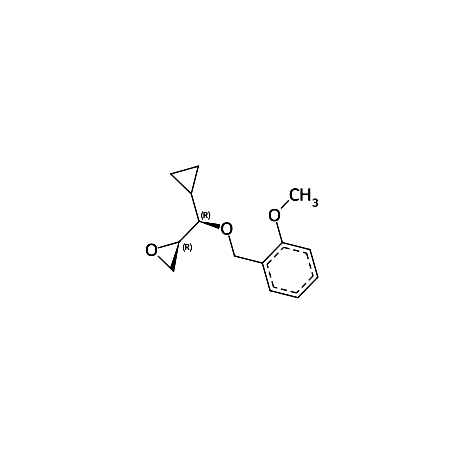 COc1ccccc1CO[C@H](C1CC1)[C@H]1CO1